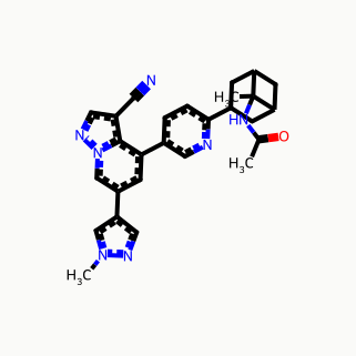 CC(=O)NC1(C)C2CC(c3ccc(-c4cc(-c5cnn(C)c5)cn5ncc(C#N)c45)cn3)CC1C2